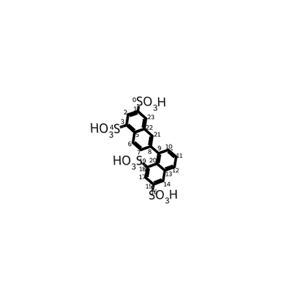 O=S(=O)(O)c1cc(S(=O)(=O)O)c2ccc(-c3[c]ccc4cc(S(=O)(=O)O)cc(S(=O)(=O)O)c34)cc2c1